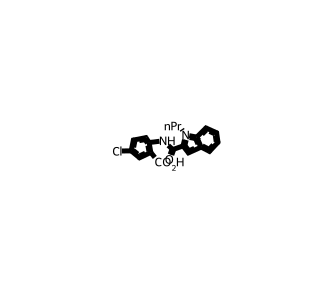 CCCn1c(C(=O)Nc2ccc(Cl)cc2C(=O)O)cc2ccccc21